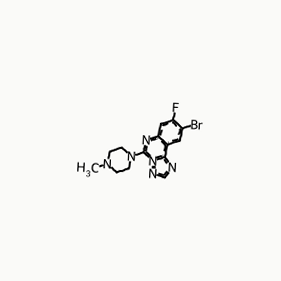 CN1CCN(c2nc3cc(F)c(Br)cc3c3ncnn23)CC1